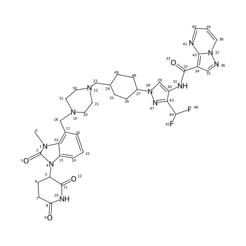 Cn1c(=O)n(C2CCC(=O)NC2=O)c2cccc(CN3CCN(CC4CCC(n5cc(NC(=O)c6cnn7cccnc67)c(C(F)F)n5)CC4)CC3)c21